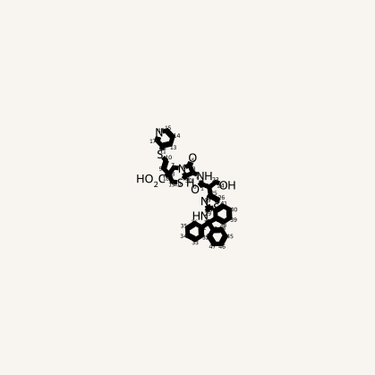 O=C(NC1C(=O)N2CC(C=CSc3cccnc3)(C(=O)O)CS[C@H]12)C(CO)c1csc(NC(c2ccccc2)(c2ccccc2)c2ccccc2)n1